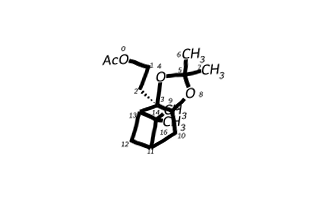 CC(=O)OCC[C@]12OC(C)(C)OC1CC1CC2C1(C)C